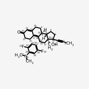 CC#C[C@]1(O)CC[C@H]2[C@@H]3CCC4=CC(=O)CCC4=C3[C@@H](c3cc(F)c(N(C)C)cc3F)C[C@@]21C